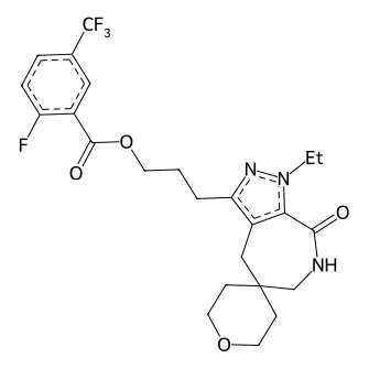 CCn1nc(CCCOC(=O)c2cc(C(F)(F)F)ccc2F)c2c1C(=O)NCC1(CCOCC1)C2